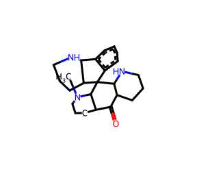 CN1CCCC2C(=O)C3CCCNC3C3(c4ccccc4C4NCCCC43)C21